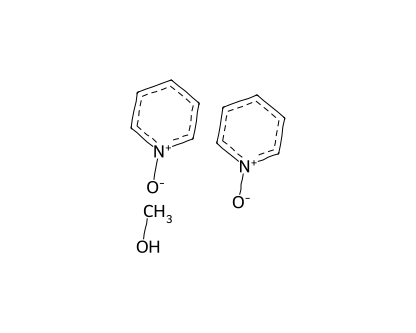 CO.[O-][n+]1ccccc1.[O-][n+]1ccccc1